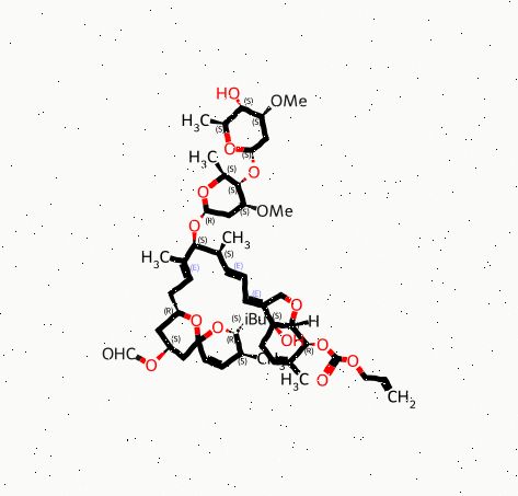 C=CCOC(=O)O[C@@H]1C(C)=CC[C@]2(O)/C(=C/C=C/[C@H](C)[C@H](O[C@H]3C[C@H](OC)[C@@H](O[C@H]4C[C@H](OC)[C@@H](O)[C@H](C)O4)[C@H](C)O3)/C(C)=C/C[C@@H]3C[C@H](OC=O)CC4(C=C[C@H](C)[C@@H]([C@@H](C)CC)O4)O3)CO[C@H]12